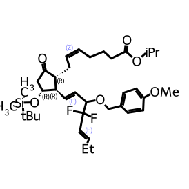 CC/C=C/C(F)(F)C(/C=C/[C@H]1[C@H](O[Si](C)(C)C(C)(C)C)CC(=O)[C@@H]1C/C=C\CCCC(=O)OC(C)C)OCc1ccc(OC)cc1